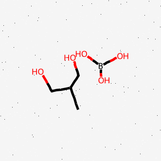 CC(CO)CO.OB(O)O